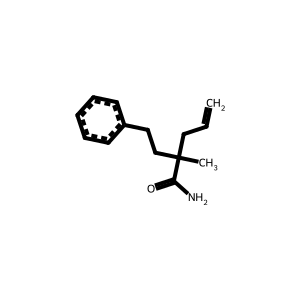 C=CCC(C)(CCc1ccccc1)C(N)=O